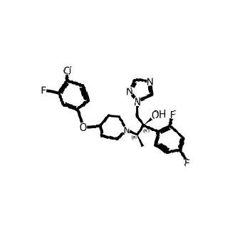 C[C@@H](N1CCC(Oc2ccc(Cl)c(F)c2)CC1)[C@](O)(Cn1cncn1)c1ccc(F)cc1F